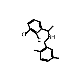 Cc1ccc(C)c(CNC(C)c2cccc(Cl)c2Cl)c1